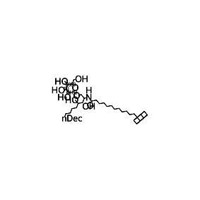 CCCCCCCCCCCCCCC(O)C(O)C(CO[C@H]1O[C@H](CO)[C@H](O)[C@H](O)[C@H]1O)NC(=O)CCCCCCCCCCCC12C3C4C5C3C1C5C42